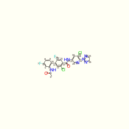 CC(=O)Nc1cc(F)ccc1-c1cc(Cl)c(C(=O)Nc2cnc(-n3nccn3)c(Cl)c2)cc1F